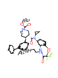 CC(=O)NCCN1C(=O)C(F)(F)Oc2ccc(N(C(=O)[C@H]3CN(C(=O)OC(C)(C)C)CC[C@@H]3c3cccc(-c4ccccc4)c3)C3CC3)cc21